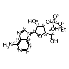 CCOP(=O)(O)O[C@H]1[C@@H](O)[C@H](n2cnc3c(N)ncnc32)O[C@@H]1CO